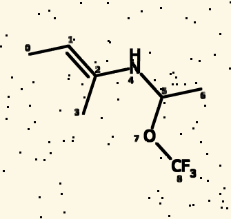 C/C=C(\C)NC(C)OC(F)(F)F